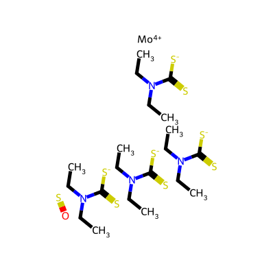 CCN(CC)C(=S)[S-].CCN(CC)C(=S)[S-].CCN(CC)C(=S)[S-].CCN(CC)C(=S)[S-].O=S.[Mo+4]